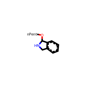 CCCCCOC1NCc2ccccc21